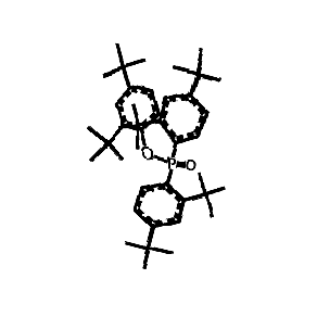 CC(C)(C)c1ccc(OP(=O)(c2ccc(C(C)(C)C)cc2C(C)(C)C)c2ccc(C(C)(C)C)cc2C(C)(C)C)c(C(C)(C)C)c1